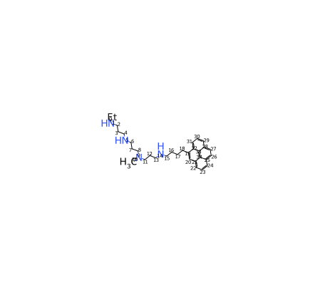 CCNCCCNCCCN(C)CCCNCCCCc1cc2cccc3ccc4cccc1c4c32